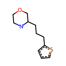 c1csc(CCCC2COCC[N]2)c1